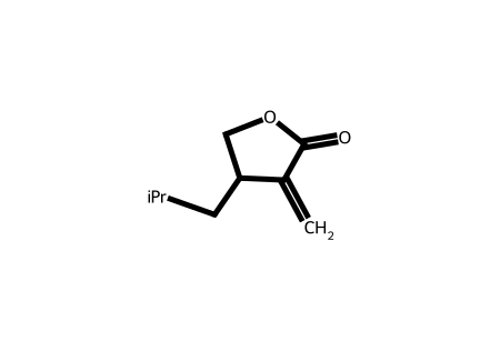 C=C1C(=O)OCC1CC(C)C